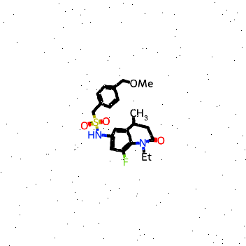 CCN1C(=O)CC(C)c2cc(NS(=O)(=O)Cc3ccc(COC)cc3)cc(F)c21